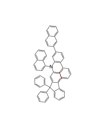 c1ccc(-c2ccc(-c3ccc4ccccc4c3)cc2N(c2ccc3c(c2)C(c2ccccc2)(c2ccccc2)c2ccccc2-3)c2cccc3ccccc23)cc1